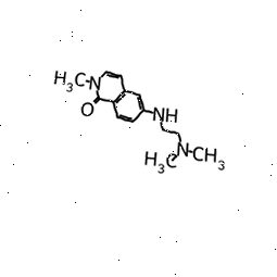 CN(C)CCNc1ccc2c(=O)n(C)ccc2c1